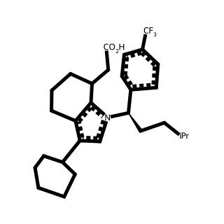 CC(C)CC[C@H](c1ccc(C(F)(F)F)cc1)n1cc(C2CCCCC2)c2c1C(CC(=O)O)CCC2